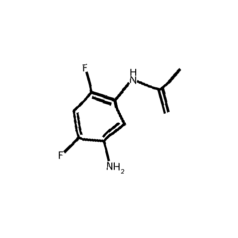 C=C(C)Nc1cc(N)c(F)cc1F